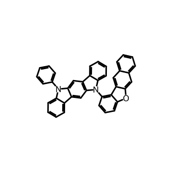 c1ccc(-n2c3ccccc3c3cc4c(cc32)c2ccccc2n4-c2cccc3oc4cc5ccccc5cc4c23)cc1